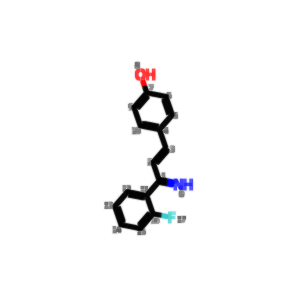 N=C(/C=C/c1ccc(O)cc1)c1ccccc1F